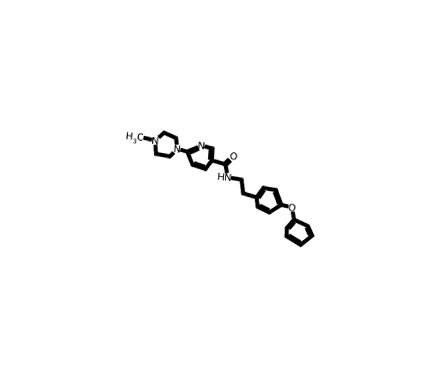 CN1CCN(c2ccc(C(=O)NCCc3ccc(Oc4ccccc4)cc3)cn2)CC1